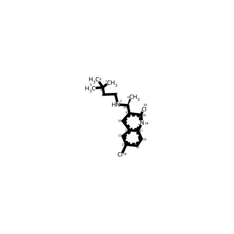 C[C@H](NCCC(C)(C)C)c1cc2cc(Cl)ccc2nc1Cl